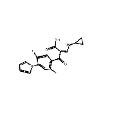 O=C(O)C(=CNC1CC1)C(=O)c1cc(F)c(-n2cccc2)cc1F